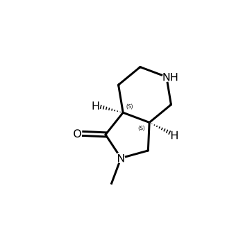 CN1C[C@@H]2CNCC[C@@H]2C1=O